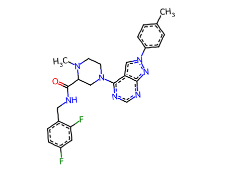 Cc1ccc(-n2cc3c(N4CCN(C)C(C(=O)NCc5ccc(F)cc5F)C4)ncnc3n2)cc1